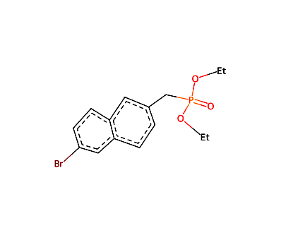 CCOP(=O)(Cc1ccc2cc(Br)ccc2c1)OCC